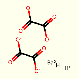 O=C([O-])C(=O)[O-].O=C([O-])C(=O)[O-].[Ba+2].[H+].[H+]